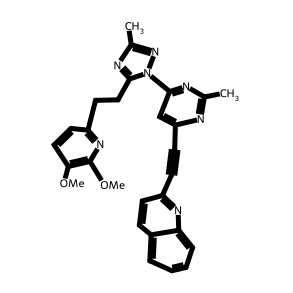 COc1ccc(CCc2nc(C)nn2-c2cc(C#Cc3ccc4ccccc4n3)nc(C)n2)nc1OC